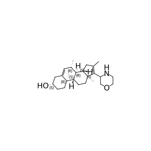 CC1=C(C2COCCN2)[C@@]2(C)CC[C@H]3[C@@H]([C@@H](C)C=C4C[C@@H](O)CC[C@@]43C)[C@@H]2C1